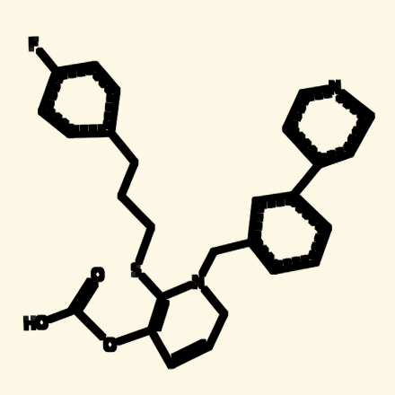 O=C(O)OC1=C(SCCCc2ccc(F)cc2)N(Cc2cccc(-c3ccncc3)c2)CC=C1